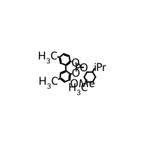 COc1cc(C)cc2c1op(OC1CC(C)CCC1C(C)C)oc1ccc(C)cc12